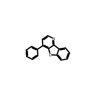 c1ccc(-c2ccnc3c2oc2ccccc23)cc1